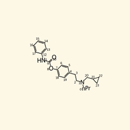 CCCN(CCc1ccc(OC(=O)Nc2ccccc2)cc1)CC1CC1